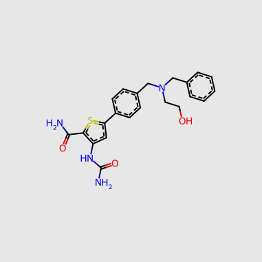 NC(=O)Nc1cc(-c2ccc(CN(CCO)Cc3ccccc3)cc2)sc1C(N)=O